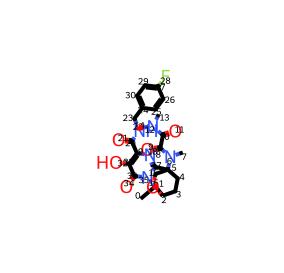 CC1C2CCC(N(C)C(=O)C(=O)N(C)C)(CO2)c2nc(C(=O)NCc3ccc(F)cc3)c(O)c(=O)n21